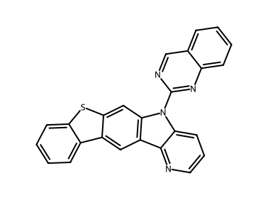 c1ccc2nc(-n3c4cc5sc6ccccc6c5cc4c4ncccc43)ncc2c1